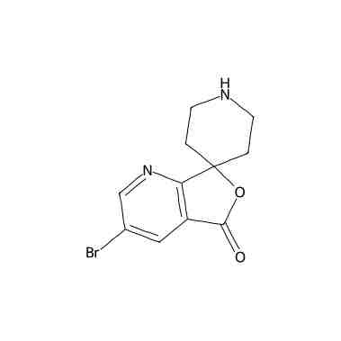 O=C1OC2(CCNCC2)c2ncc(Br)cc21